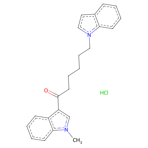 Cl.Cn1cc(C(=O)CCCCCn2ccc3ccccc32)c2ccccc21